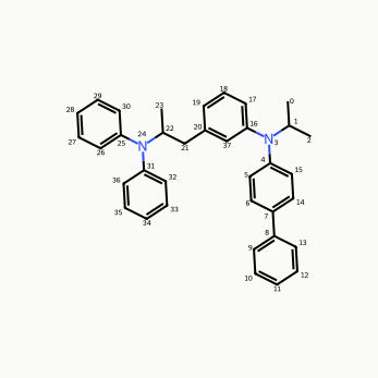 CC(C)N(c1ccc(-c2ccccc2)cc1)c1cccc(CC(C)N(c2ccccc2)c2ccccc2)c1